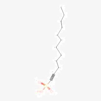 CCCCCCCCCCC#CS(=O)(=O)O